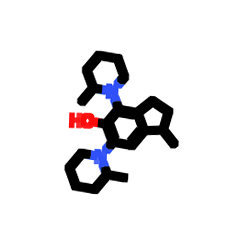 CC1CCc2c1cc(N1CCCCC1C)c(O)c2N1CCCCC1C